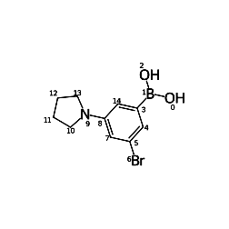 OB(O)c1cc(Br)cc(N2CCCC2)c1